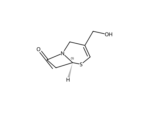 O=C1C[C@@H]2SC=C(CO)CN12